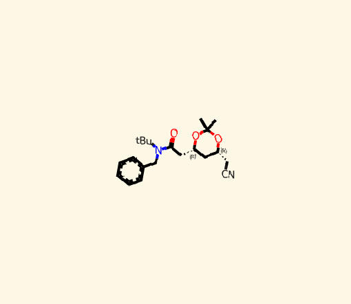 CC1(C)O[C@H](CC#N)C[C@H](CC(=O)N(Cc2ccccc2)C(C)(C)C)O1